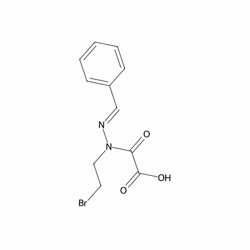 O=C(O)C(=O)N(CCBr)N=Cc1ccccc1